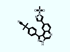 CC(C)(C#N)c1ccc(-c2n[nH]c3cnc4ccc(-c5cnn(S(C)(=O)=O)c5)cc4c23)cc1